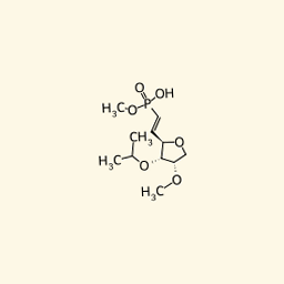 CO[C@H]1CO[C@H](/C=C/P(=O)(O)OC)[C@H]1OC(C)C